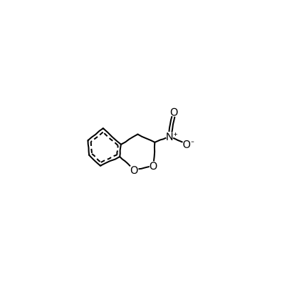 O=[N+]([O-])C1Cc2ccccc2OO1